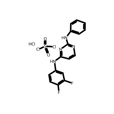 Cl.Fc1ccc(Nc2ccnc(Nc3ccccc3)n2)cc1F.O=S(=O)(Cl)Cl